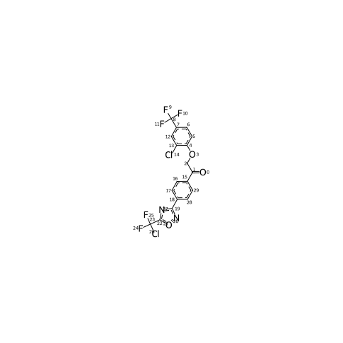 O=C(COc1ccc(C(F)(F)F)cc1Cl)c1ccc(-c2noc(C(F)(F)Cl)n2)cc1